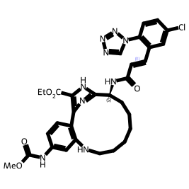 CCOC(=O)c1[nH]c2nc1-c1ccc(NC(=O)OC)cc1NCCCCCC[C@@H]2NC(=O)/C=C/c1cc(Cl)ccc1-n1cnnn1